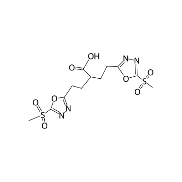 CS(=O)(=O)c1nnc(CCC(CCc2nnc(S(C)(=O)=O)o2)C(=O)O)o1